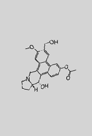 COc1cc2c3c(c4ccc(OC(C)=O)cc4c2cc1CO)[C@H](O)[C@@H]1CCCN1C3